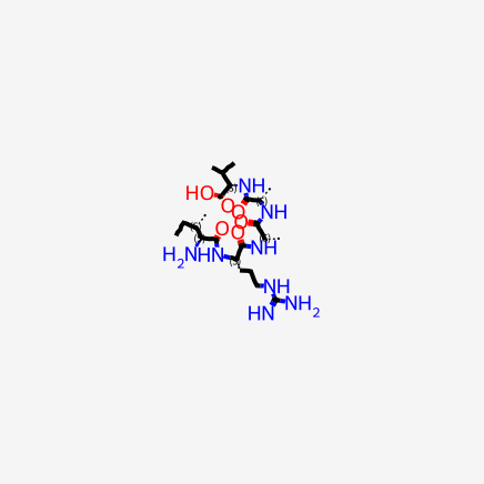 CC[C@H](C)[C@H](N)C(=O)N[C@@H](CCCNC(=N)N)C(=O)N[C@@H](C)C(=O)N[C@@H](C)C(=O)N[C@H](C(=O)O)C(C)C